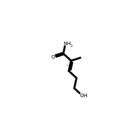 C/C(=C\CCO)C(N)=O